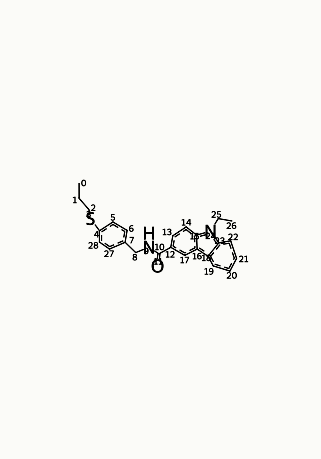 CCCSc1ccc(CNC(=O)c2ccc3c(c2)c2ccccc2n3CC)cc1